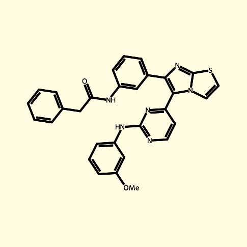 COc1cccc(Nc2nccc(-c3c(-c4cccc(NC(=O)Cc5ccccc5)c4)nc4sccn34)n2)c1